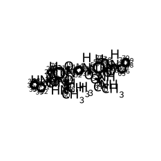 CN[C@@H](C)C(=O)N[C@H]1CN(C(=O)Nc2ccc(NC(=O)N3CC[C@H]4CC[C@@H](C(=O)N[C@@H]5CCCc6ccccc65)N4C(=O)[C@@H](NC(=O)[C@H](C)NC)C3)cc2)CC[C@H]2CCC(C(=O)N[C@@H]3CCCc4ccccc43)N2C1=O